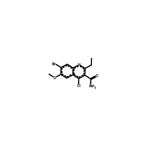 CCc1nc2cc(Br)c(OC)cc2c(Cl)c1C(N)=O